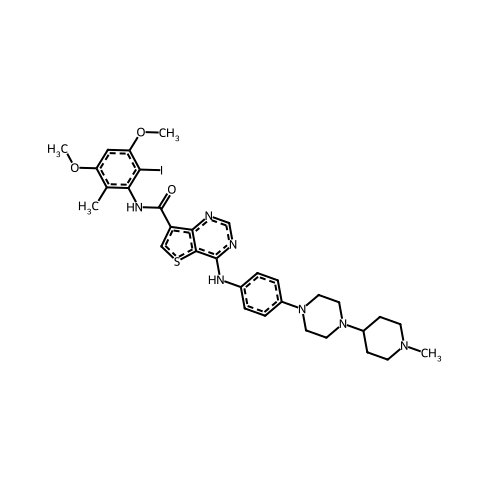 COc1cc(OC)c(I)c(NC(=O)c2csc3c(Nc4ccc(N5CCN(C6CCN(C)CC6)CC5)cc4)ncnc23)c1C